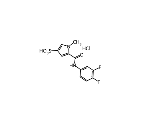 Cl.Cn1cc(S(=O)(=O)O)cc1C(=O)Nc1ccc(F)c(F)c1